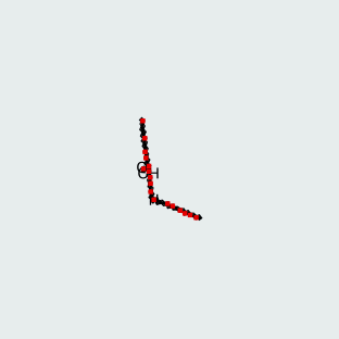 CCCCCCCCCCCCCCCCCCC(CCCCCCCCCCN(C)CCCCCCCCCCCCCCCCCC)C(=O)O